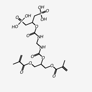 C=C(C)C(=O)OCC(COC(=O)C(=C)C)OC(=O)NCNC(=O)OC(CP(=O)(O)O)CP(=O)(O)O